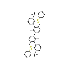 Cc1ccc(-c2ccc(C)c(-c3cccc4c3Sc3ccccc3C4(C)C)c2C)c(C)c1-c1cccc2c1Sc1ccccc1C2(C)C